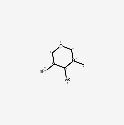 CCCC1COCN(C)C1C(C)=O